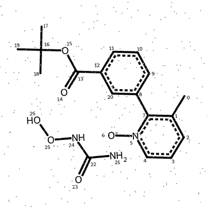 Cc1ccc[n+]([O-])c1-c1cccc(C(=O)OC(C)(C)C)c1.NC(=O)NOO